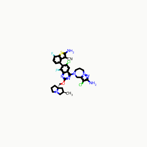 C[C@H]1CN2CCC[C@@]2(COc2nc(N3CCCn4nc(N)c(Cl)c4C3)c3cc(Cl)c(-c4ccc(F)c5sc(N)c(C#N)c45)c(F)c3n2)C1